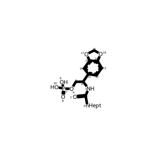 CCCCCCCC(=O)NC(COP(=O)(O)O)c1ccc2c(c1)OCO2